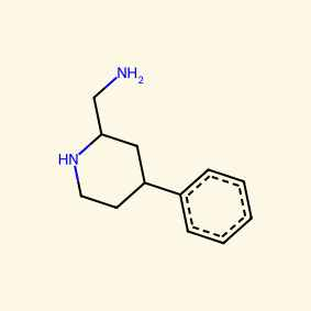 NCC1CC(c2ccccc2)CCN1